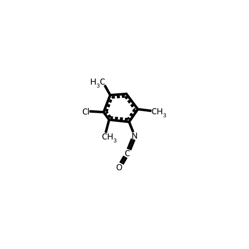 Cc1cc(C)c(N=C=O)c(C)c1Cl